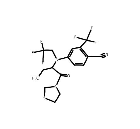 CCC(C(=O)N1CCSC1)N(CC(F)(F)F)c1ccc(C#N)c(C(F)(F)F)c1